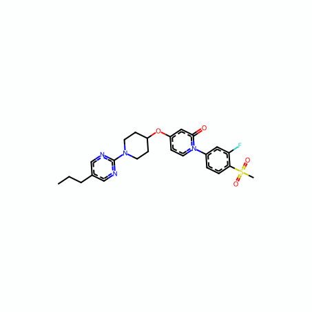 CCCc1cnc(N2CCC(Oc3ccn(-c4ccc(S(C)(=O)=O)c(F)c4)c(=O)c3)CC2)nc1